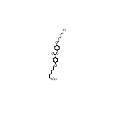 CCCC/C=C\CCCCOc1ccc(C(=O)Oc2ccc(OCCCCC[C@@H](C)CC)cc2)cc1